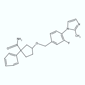 Cc1nccn1-c1ccc(COC2CCC(C(N)=O)(c3ccccc3)C2)cc1F